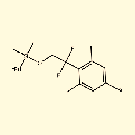 Cc1cc(Br)cc(C)c1C(F)(F)CO[Si](C)(C)C(C)(C)C